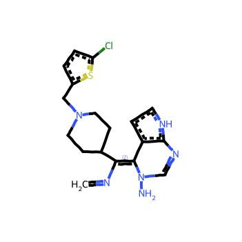 C=N/C(=C1/c2cc[nH]c2N=CN1N)C1CCN(Cc2ccc(Cl)s2)CC1